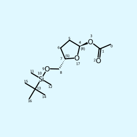 CC(=O)O[C@@H]1CC[C@@H](CO[Si](C)(C)C(C)(C)C)O1